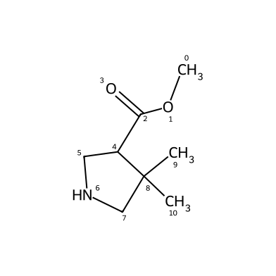 COC(=O)C1CNCC1(C)C